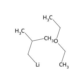 CCOCC.[Li][CH2]C(C)C